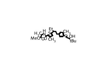 CCC(CCc1ccc(OCC(O)C(C)(C)C)c(C)c1)c1cc(C)c(C(=O)NC(C)C(=O)OC)s1